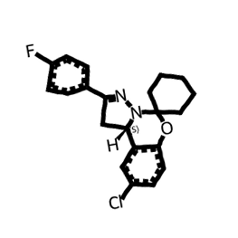 Fc1ccc(C2=NN3[C@@H](C2)c2cc(Cl)ccc2OC32CCCCC2)cc1